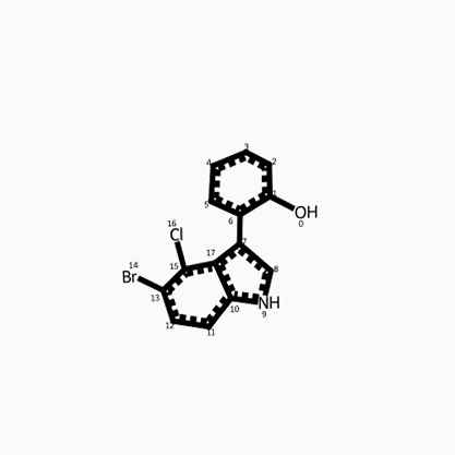 Oc1ccccc1-c1c[nH]c2ccc(Br)c(Cl)c12